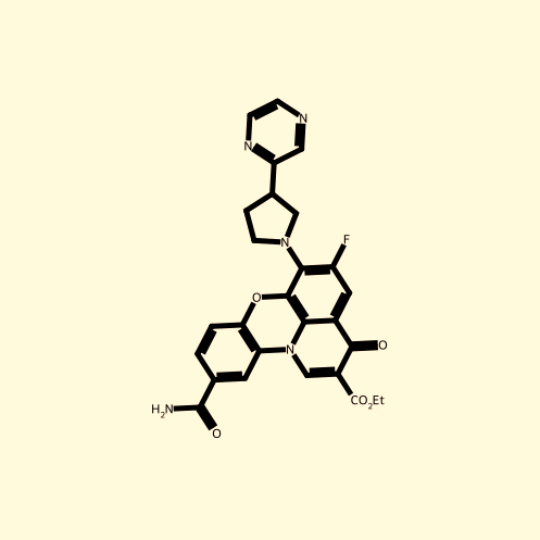 CCOC(=O)c1cn2c3c(c(N4CCC(c5cnccn5)C4)c(F)cc3c1=O)Oc1ccc(C(N)=O)cc1-2